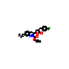 CC(C)(C)OC(=O)N[C@H](Cc1ccc(C(F)(F)F)cc1)[C@H]1C[C@H](Cc2ccc(F)cc2)C(=O)O1